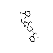 O=C(c1ccccc1F)N1CCC2(CC1)OC1CCC(c3ccccc3F)N1C2=O